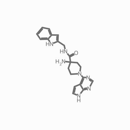 NC1(C(=O)NCc2cc3ccccc3[nH]2)CCN(c2ncnc3[nH]ccc23)CC1